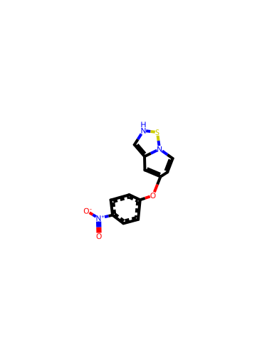 O=[N+]([O-])c1ccc(OC2=CC3=CNSN3C=C2)cc1